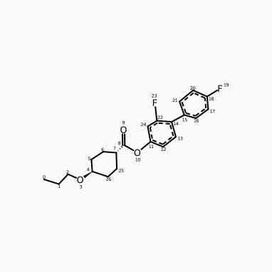 CCCO[C@H]1CC[C@H](C(=O)Oc2ccc(-c3ccc(F)cc3)c(F)c2)CC1